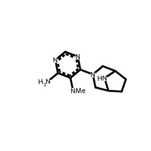 CNc1c(N)ncnc1N1CC2CCC(C1)N2